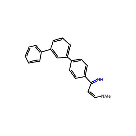 CN/C=C\C(=N)c1ccc(-c2cccc(-c3ccccc3)c2)cc1